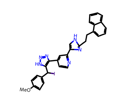 COc1ccc(C(I)c2[nH]nnc2-c2ccnc(-c3c[nH]c(CCc4cccc5ccccc45)n3)c2)cc1